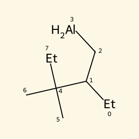 CCC([CH2][AlH2])C(C)(C)CC